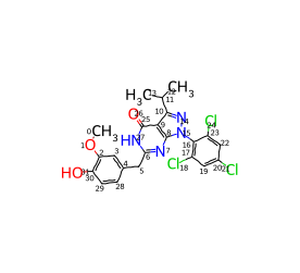 COc1cc(Cc2nc3c(c(C(C)C)nn3-c3c(Cl)cc(Cl)cc3Cl)c(=O)[nH]2)ccc1O